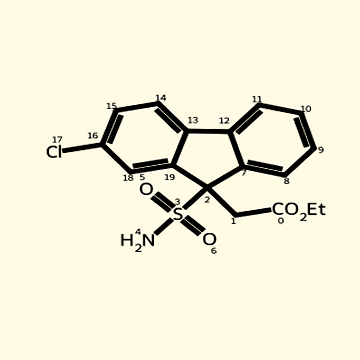 CCOC(=O)CC1(S(N)(=O)=O)c2ccccc2-c2ccc(Cl)cc21